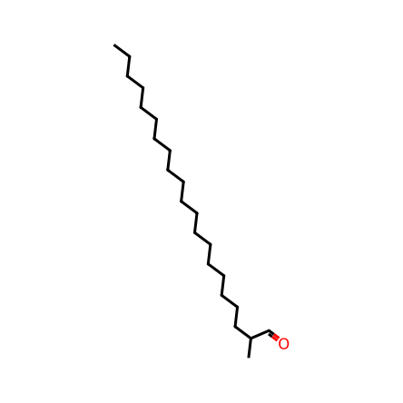 CCCCCCCCCCCCCCCCCCCC(C)C=O